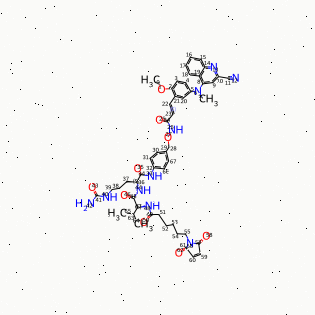 COc1ccc(N(C)c2cc(C#N)nc3ccccc23)cc1/C=C/C(=O)NOCc1ccc(NC(=O)[C@H](CCCNC(N)=O)NC(=O)[C@@H](NC(=O)CCCCCN2C(=O)C=CC2=O)C(C)C)cc1